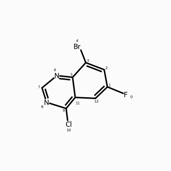 Fc1cc(Br)c2ncnc(Cl)c2c1